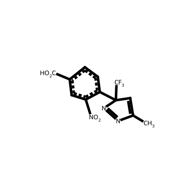 CC1=CC(c2ccc(C(=O)O)cc2[N+](=O)[O-])(C(F)(F)F)N=N1